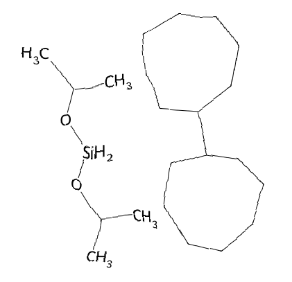 C1CCCC(C2CCCCCCC2)CCC1.CC(C)O[SiH2]OC(C)C